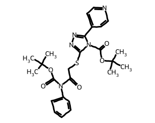 CC(C)(C)OC(=O)N(C(=O)CSc1nnc(-c2ccncc2)n1C(=O)OC(C)(C)C)c1ccccc1